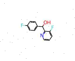 OC(c1ccc(F)cc1)c1ncccc1F